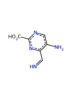 N=Cc1nc(C(=O)O)ncc1N